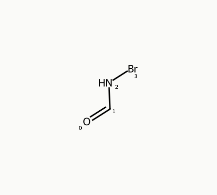 O=CNBr